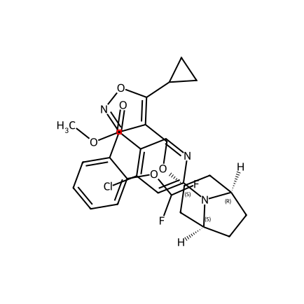 COC(=O)c1cnc(N2[C@@H]3CC[C@H]2C[C@H](OCc2c(-c4ccccc4OC(F)F)noc2C2CC2)C3)cc1Cl